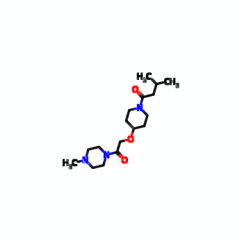 CC(C)CC(=O)N1CCC(OCC(=O)N2CCN(C)CC2)CC1